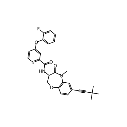 CN1C(=O)C(NC(=O)c2cc(Oc3ccccc3F)ccn2)COc2ccc(C#CC(C)(C)C)cc21